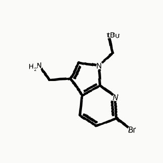 CC(C)(C)Cn1cc(CN)c2ccc(Br)nc21